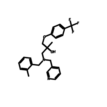 Cc1ccccc1CN(Cc1cccnc1)CC(C)(O)COc1ccc(C(F)(F)F)cc1